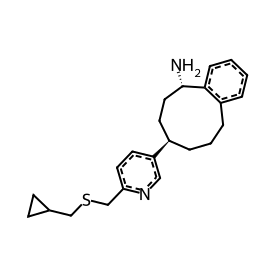 N[C@H]1CC[C@H](c2ccc(CSCC3CC3)nc2)CCCc2ccccc21